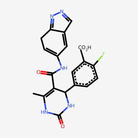 CC1=C(C(=O)NC2=CCC3=NN=CC3=C2)C(c2ccc(F)c(C(=O)O)c2)NC(=O)N1